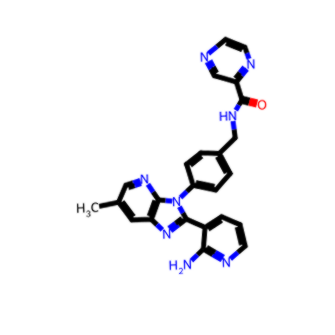 Cc1cnc2c(c1)nc(-c1cccnc1N)n2-c1ccc(CNC(=O)c2cnccn2)cc1